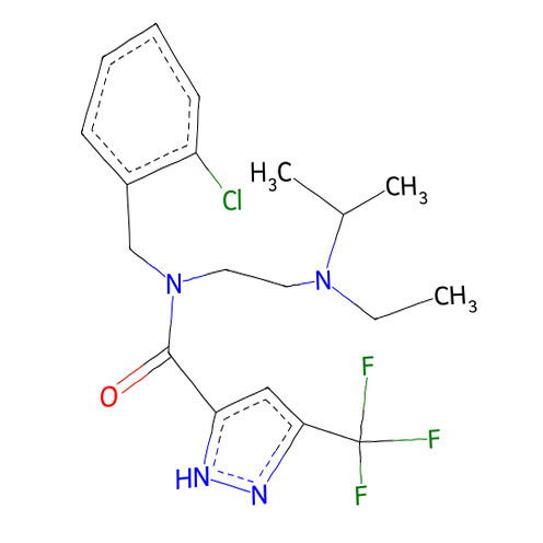 CCN(CCN(Cc1ccccc1Cl)C(=O)c1cc(C(F)(F)F)n[nH]1)C(C)C